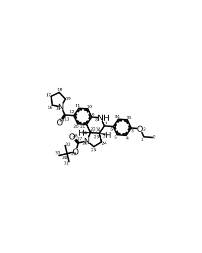 CCOc1ccc(C2Nc3ccc(C(=O)N4CCCC4)cc3[C@@H]3[C@H]2CCN3C(=O)OC(C)(C)C)cc1